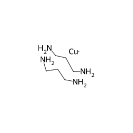 NCCCN.NCCCN.[Cu]